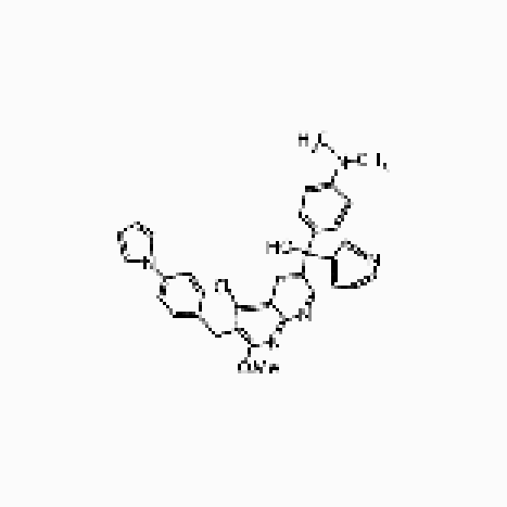 COc1nc2ncc(C(O)(c3ccc(N(C)C)cc3)c3cccnc3)cc2c(Cl)c1Cc1ccc(-n2cccc2)cc1